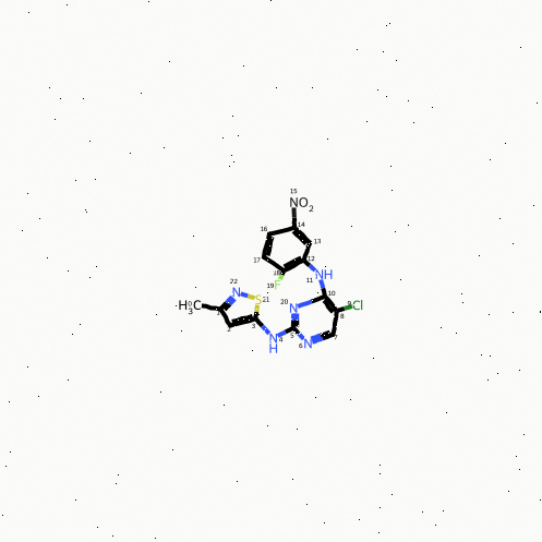 Cc1cc(Nc2ncc(Cl)c(Nc3cc([N+](=O)[O-])ccc3F)n2)sn1